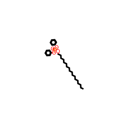 CCCCCCCCCCCCCCCCCCOP(=O)(Oc1ccccc1)Oc1ccccc1